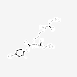 Cc1cc(Cl)ccc1OC(=O)[C@H](CCCCNC(=O)OC(C)(C)C)NC(=O)OC(C)(C)C